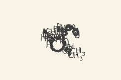 CC[C@H](C)OC(=O)N[C@H]1CCCCC/C=C\[C@@H]2C[C@@]2(C(=O)NS(=O)(=O)C2(C)CC2)NC(=O)[C@@H]2C[C@]3(CCc4c(c(C(F)(F)F)nc5ccc(OC6CCOCC6)cc45)O3)CN2C1=O